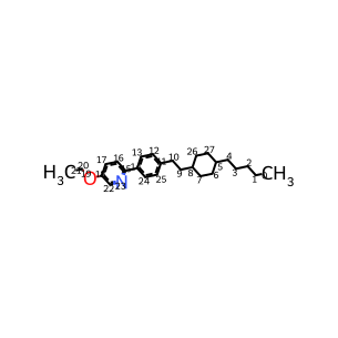 CCCCCC1CCC(CCc2ccc(-c3ccc(OCC)cn3)cc2)CC1